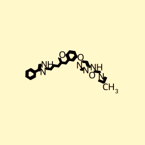 CC1CN(CC(=O)Nc2cc(Oc3ccc4c(c3)CC(CCCc3nc(-c5ccccc5)c[nH]3)CO4)ncn2)C1